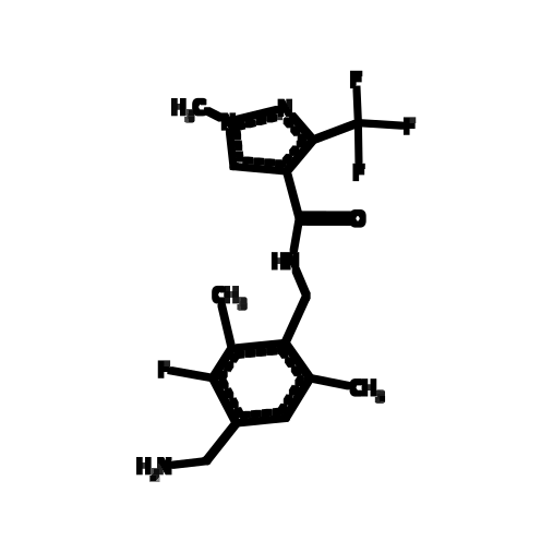 Cc1cc(CN)c(F)c(C)c1CNC(=O)c1cn(C)nc1C(F)(F)F